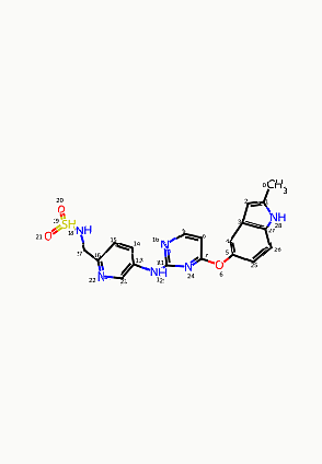 Cc1cc2cc(Oc3ccnc(Nc4ccc(CN[SH](=O)=O)nc4)n3)ccc2[nH]1